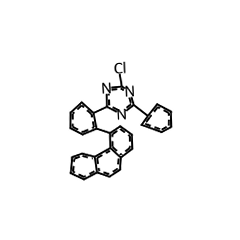 Clc1nc(-c2ccccc2)nc(-c2ccccc2-c2cccc3ccc4ccccc4c23)n1